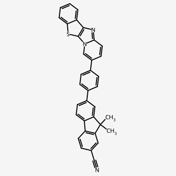 CC1(C)c2cc(C#N)ccc2-c2ccc(-c3ccc(-c4ccc5nc6c7ccccc7sc6n5c4)cc3)cc21